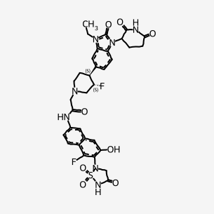 CCn1c(=O)n(C2CCC(=O)NC2=O)c2ccc([C@@H]3CCN(CC(=O)Nc4ccc5c(F)c(N6CC(=O)NS6(=O)=O)c(O)cc5c4)C[C@H]3F)cc21